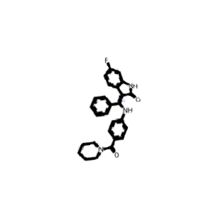 O=C1Nc2cc(F)ccc2/C1=C(/Nc1ccc(C(=O)N2CCCCC2)cc1)c1ccccc1